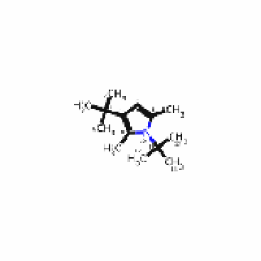 Cc1cc(C(C)(C)C)c(C)n1C(C)(C)C